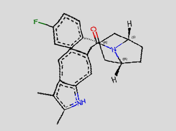 Cc1[nH]c2cc(C(=O)N3[C@@H]4CC[C@H]3C[C@@H](c3ccc(F)cc3)C4)ccc2c1C